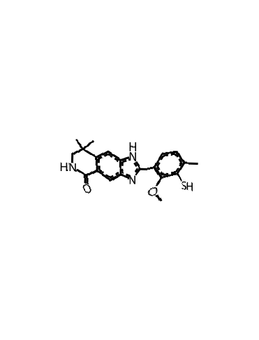 COc1c(-c2nc3cc4c(cc3[nH]2)C(C)(C)CNC4=O)ccc(C)c1S